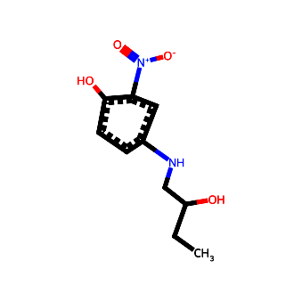 CCC(O)CNc1ccc(O)c([N+](=O)[O-])c1